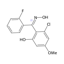 COc1cc(O)c(/C(=N\O)c2ccccc2F)c(Cl)c1